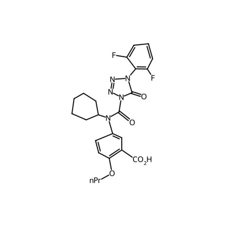 CCCOc1ccc(N(C(=O)n2nnn(-c3c(F)cccc3F)c2=O)C2CCCCC2)cc1C(=O)O